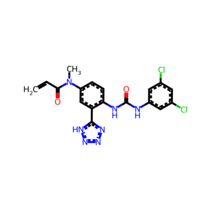 C=CC(=O)N(C)c1ccc(NC(=O)Nc2cc(Cl)cc(Cl)c2)c(-c2nnn[nH]2)c1